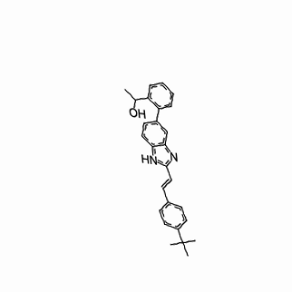 CC(O)c1ccccc1-c1ccc2[nH]c(C=Cc3ccc(C(C)(C)C)cc3)nc2c1